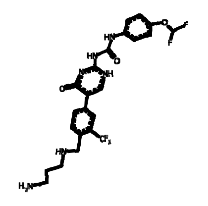 NCCCNCc1ccc(-c2c[nH]c(NC(=O)Nc3ccc(OC(F)F)cc3)nc2=O)cc1C(F)(F)F